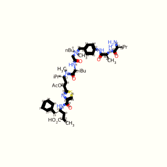 CCCC[N+](C)(CC(=O)N[C@H](C(=O)N(C)[C@H](C[C@@H](OC(C)=O)c1nc(C(=O)N[C@@H](Cc2ccccc2)C[C@H](C)C(=O)O)cs1)C(C)C)[C@@H](C)CC)Cc1ccc(NC(=O)[C@H](C)NC(=O)[C@@H](N)C(C)C)cc1